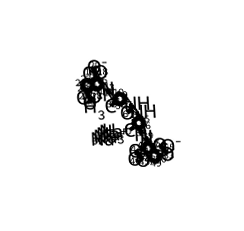 Cc1cc(NC(=O)Nc2ccc(N=Nc3cc(S(=O)(=O)[O-])c4cccc(S(=O)(=O)[O-])c4c3)c(C)c2)ccc1N=Nc1cc(S(=O)(=O)[O-])c2cccc(S(=O)(=O)[O-])c2c1.[Na+].[Na+].[Na+].[Na+]